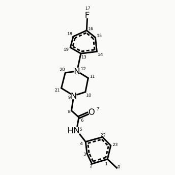 Cc1ccc(NC(=O)CN2CCN(c3ccc(F)cc3)CC2)cc1